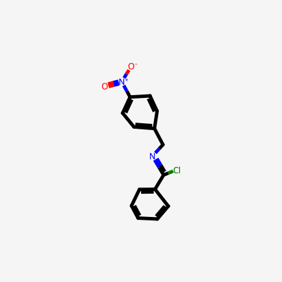 O=[N+]([O-])c1ccc(CN=C(Cl)c2ccccc2)cc1